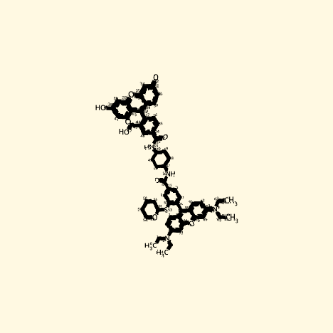 CCN(CC)c1ccc2c(-c3ccc(C(=O)NC4CCC(NC(=O)c5ccc(-c6c7ccc(=O)cc-7oc7cc(O)ccc67)c(C(=O)O)c5)CC4)cc3SC3CCCCO3)c3ccc(=[N+](CC)CC)cc-3oc2c1